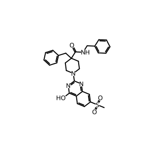 CS(=O)(=O)c1ccc2c(O)nc(N3CCC(Cc4ccccc4)(C(=O)NCc4ccccc4)CC3)nc2c1